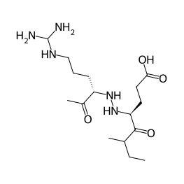 CCC(C)C(=O)[C@H](CCC(=O)O)NN[C@@H](CCCNC(N)N)C(C)=O